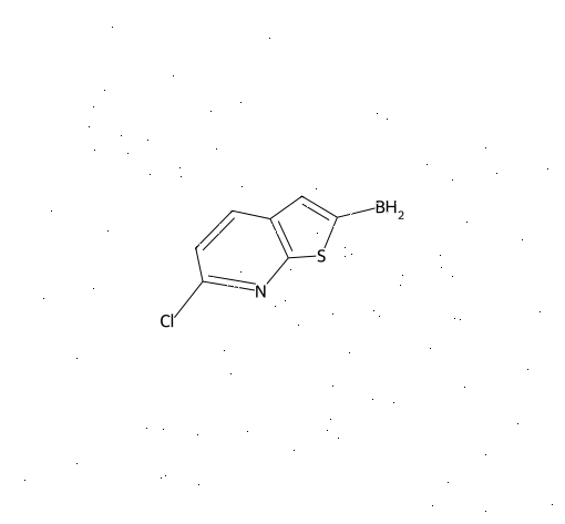 Bc1cc2ccc(Cl)nc2s1